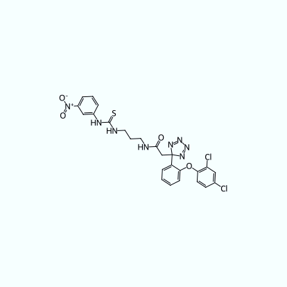 O=C(CC1(c2ccccc2Oc2ccc(Cl)cc2Cl)N=NN=N1)NCCCNC(=S)Nc1cccc([N+](=O)[O-])c1